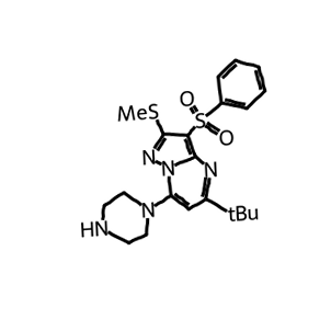 CSc1nn2c(N3CCNCC3)cc(C(C)(C)C)nc2c1S(=O)(=O)c1ccccc1